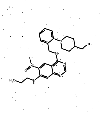 CCCNc1cc2ncnc(NCc3ccccc3N3CCC(CO)CC3)c2cc1[N+](=O)[O-]